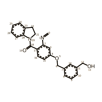 C=Nc1cc(OCc2cccc(CO)c2)ccc1C(=O)N1CCc2ccccc21